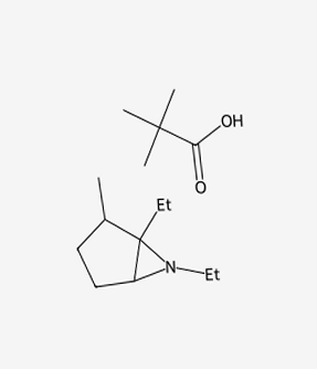 CC(C)(C)C(=O)O.CCN1C2CCC(C)C21CC